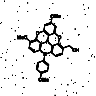 COc1ccc(N2c3ccc(CO)c4c3P3c5c(cc(OC)cc5Oc5c(OC)ccc2c53)O4)cc1